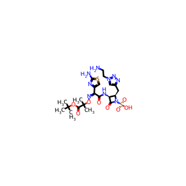 CC(C)(C)OC(=O)C(C)(C)O/N=C(\C(=O)N[C@@H]1C(=O)N(S(=O)(=O)O)[C@@H]1Cc1cn(CCN)nn1)c1csc(N)n1